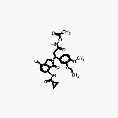 CCOc1cc(C(CC(=O)NOC(C)=O)N2Cc3c(Cl)ccc(NC(=O)C4CC4)c3C2=O)ccc1OC